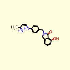 CC(=N)/C=C\Nc1ccc(CN2Cc3cccc(O)c3C2=O)cc1